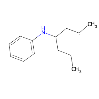 C[CH]CC(CCC)Nc1ccccc1